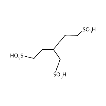 O=S(=O)(O)CCC(CCS(=O)(=O)O)CS(=O)(=O)O